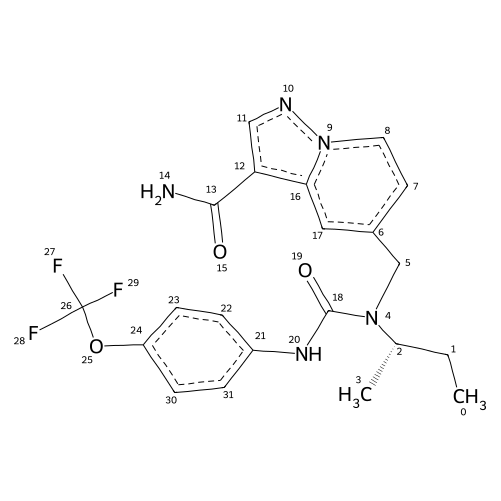 CC[C@H](C)N(Cc1ccn2ncc(C(N)=O)c2c1)C(=O)Nc1ccc(OC(F)(F)F)cc1